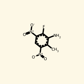 Cc1c([N+](=O)[O-])cc([N+](=O)[O-])c(F)c1N